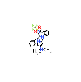 CN(C)c1ccnc(CN2c3ccccc3CN(S(=O)(=O)C(F)(F)F)C[C@@H]2CCc2ccccc2)c1